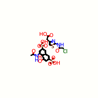 CC(=O)Nc1cc(S(=O)(=O)O)cc2cc(S(=O)(=O)O)cc(O)c12.O=C(O)Cc1csc(NC(=O)CCl)n1